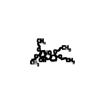 CCCOc1ccc(Cc2ccc(OCCC)c(OCCC)c2O)c(O)c1OCCC